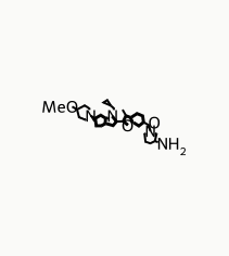 COC1CCN(c2ccc3cc(-c4oc5cc(C(=O)N6CCCC(N)C6)ccc5c4C)n(CC4CC4)c3c2)CC1